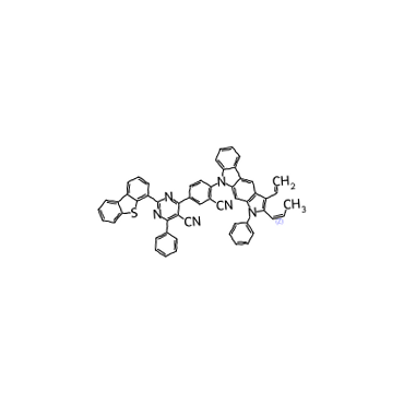 C=Cc1c(/C=C\C)n(-c2ccccc2)c2cc3c(cc12)c1ccccc1n3-c1ccc(-c2nc(-c3cccc4c3sc3ccccc34)nc(-c3ccccc3)c2C#N)cc1C#N